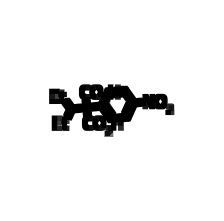 CCC(CC)C(C(=O)O)(C(=O)O)c1ccc([N+](=O)[O-])cc1